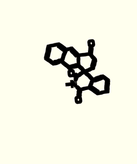 CN1C(=O)c2ccccc2C2(C=CC(=O)c3cc4ccccc4cc32)C1=O